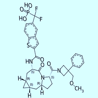 COCC1(c2ccccc2)CN(C(=O)[C@@H]2CC[C@@H]3C[C@@H]4C[C@@H]4C[C@H](NC(=O)c4cc5cc(C(F)(F)P(=O)(O)O)ccc5s4)C(=O)N32)C1